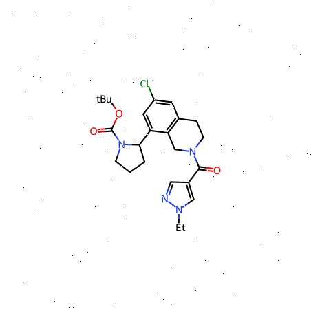 CCn1cc(C(=O)N2CCc3cc(Cl)cc(C4CCCN4C(=O)OC(C)(C)C)c3C2)cn1